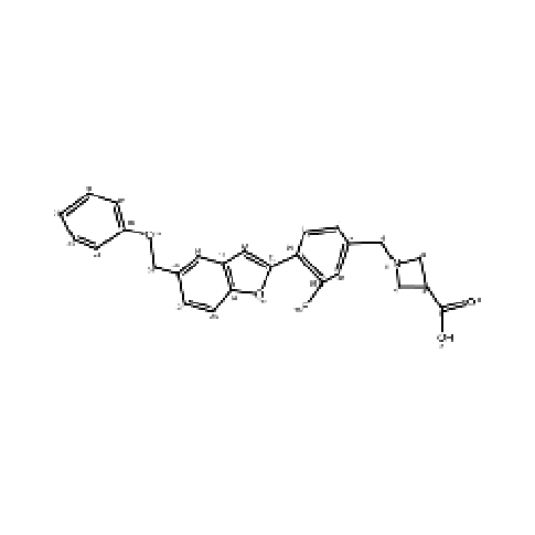 O=C(O)C1CN(Cc2ccc(-c3cc4cc(COc5ccccc5)ccc4o3)c(F)c2)C1